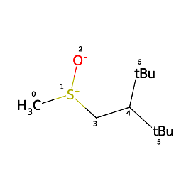 C[S+]([O-])CC(C(C)(C)C)C(C)(C)C